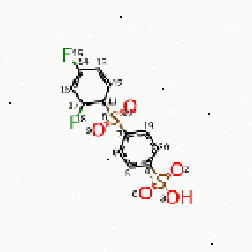 O=S(=O)(O)c1ccc(S(=O)(=O)C2C=CC(F)=CC2F)cc1